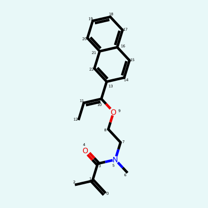 C=C(C)C(=O)N(C)CCOC(=CC)c1ccc2ccccc2c1